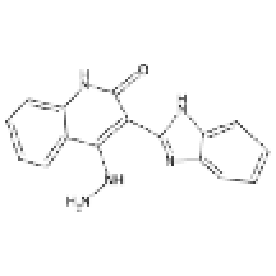 NNc1c(-c2nc3ccccc3[nH]2)c(=O)[nH]c2ccccc12